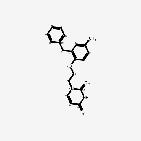 Cc1ccc(OCCn2ccc(=O)[nH]c2=O)c(Cc2ccccc2)c1